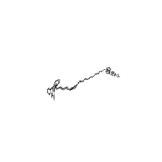 CC(C)(C)OC(=O)CCCCCCCCCCCCCCCCCCC(=O)NCC1CCCCC1